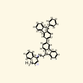 N/C=C\C(=N/Cn1c2ccccc2c2cc(-c3ccc4c(c3)c3ccccc3n4-c3ccccc3)ccc21)c1ccccc1